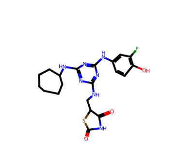 O=C1NC(=O)C(CNc2nc(Nc3ccc(O)c(F)c3)nc(NC3CCCCCC3)n2)S1